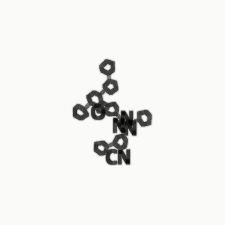 N#Cc1ccccc1-c1cccc(-c2nc(-c3ccccc3)nc(-c3ccc4c(c3)oc3c(-c5ccccc5)ccc(-c5cccc(-c6ccccc6)c5)c34)n2)c1